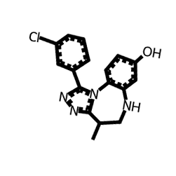 CC1CNc2cc(O)ccc2-n2c(-c3cccc(Cl)c3)nnc21